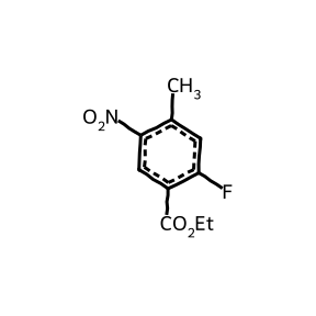 CCOC(=O)c1cc([N+](=O)[O-])c(C)cc1F